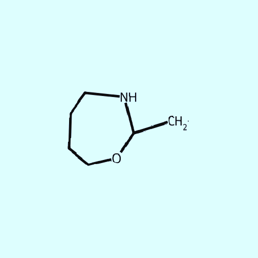 [CH2]C1NCCCCO1